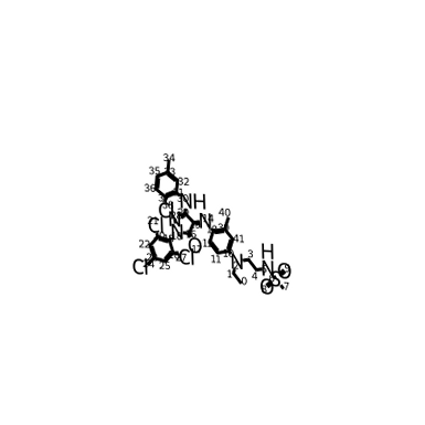 CCN(CCNS(C)(=O)=O)c1ccc(/N=C2\C(=O)N(c3c(Cl)cc(Cl)cc3Cl)N=C2Nc2cc(C)ccc2Cl)c(C)c1